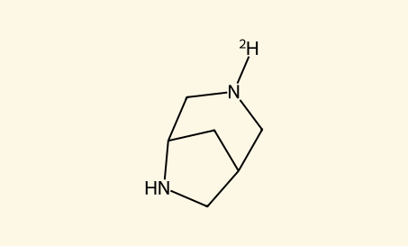 [2H]N1CC2CNC(C2)C1